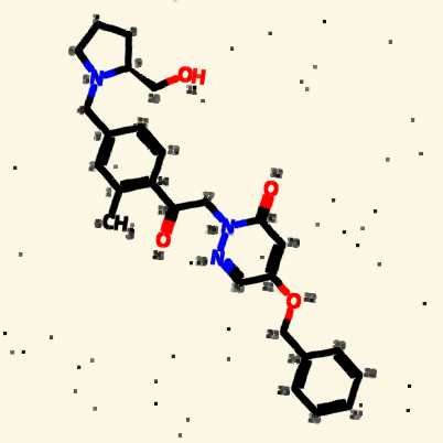 Cc1cc(CN2CCC[C@H]2CO)ccc1C(=O)Cn1ncc(OCc2ccccc2)cc1=O